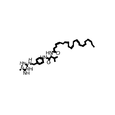 CC/C=C\C/C=C\C/C=C\C/C=C\C/C=C\C/C=C\CCC(=O)N[C@H](C(=O)Nc1ccc(CNC(=N)NC(=N)N(C)C)cc1)C(C)C